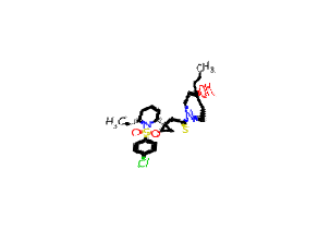 CCCC1(O)CCN(C(=S)CC2([C@H]3CCC[C@@H](CC)N3S(=O)(=O)c3ccc(Cl)cc3)CC2)CC1